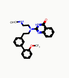 O=CNCCN(CCc1cccc(-c2ccccc2OC(F)(F)F)c1)c1nc2ccccc2c(=O)[nH]1